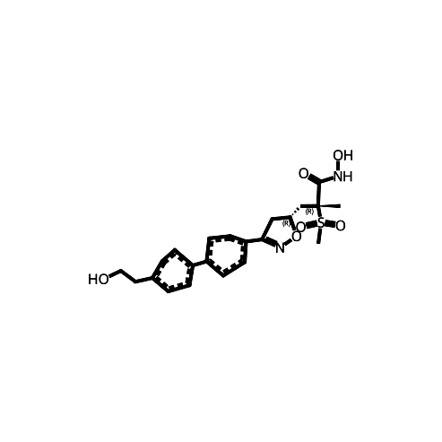 C[C@@](C[C@H]1CC(c2ccc(-c3ccc(CCO)cc3)cc2)=NO1)(C(=O)NO)S(C)(=O)=O